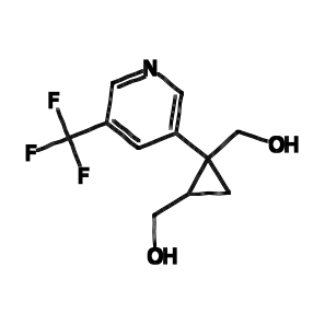 OCC1CC1(CO)c1cncc(C(F)(F)F)c1